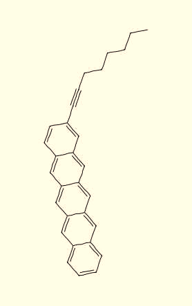 CCCCCCC#Cc1ccc2cc3cc4cc5ccccc5cc4cc3cc2c1